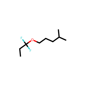 CCC(F)(F)OCCCC(C)C